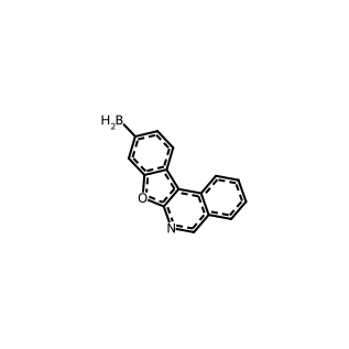 Bc1ccc2c(c1)oc1ncc3ccccc3c12